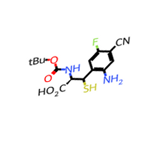 CC(C)(C)OC(=O)N[C@H](C(=O)O)C(S)c1cc(F)c(C#N)cc1N